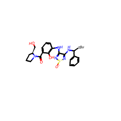 CC(C)(C)C(Nc1n[s+]([O-])nc1Nc1cccc(C(=O)N2CCC[C@H]2CO)c1O)c1ccccc1